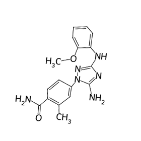 COc1ccccc1Nc1nc(N)n(-c2ccc(C(N)=O)c(C)c2)n1